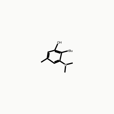 Cc1cc(O)c(C(C)(C)C)c(N(C)C)c1